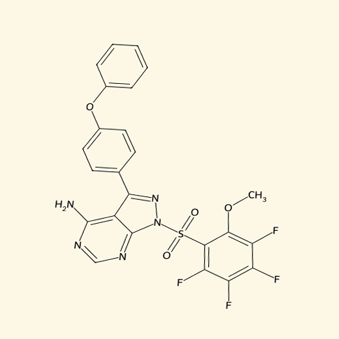 COc1c(F)c(F)c(F)c(F)c1S(=O)(=O)n1nc(-c2ccc(Oc3ccccc3)cc2)c2c(N)ncnc21